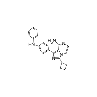 Nc1nccn2c(C3CCC3)nc(-c3ccc(Nc4ccccc4)cc3)c12